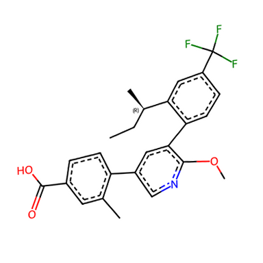 CC[C@@H](C)c1cc(C(F)(F)F)ccc1-c1cc(-c2ccc(C(=O)O)cc2C)cnc1OC